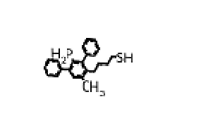 Cc1cc(-c2ccccc2)c(P)c(-c2ccccc2)c1CCCCS